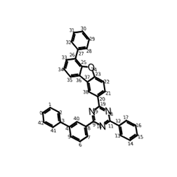 c1ccc(-c2cccc(-c3nc(-c4ccccc4)nc(-c4ccc5oc6c(-c7ccccc7)cccc6c5c4)n3)c2)cc1